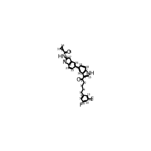 O=C(CCCCc1cc(F)cc(F)c1)c1c[nH]c2ccc(-c3ccc4c(c3)CC(NC(=O)C3CC3)=N4)cc12